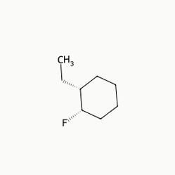 CC[C@@H]1CCCC[C@@H]1F